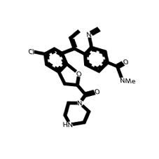 C=Nc1cc(C(=O)NC)ccc1/C(=C\C)c1cc(Cl)cc2c1OC(C(=O)N1CCNCC1)C2